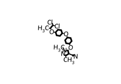 CC(Oc1ccc(Oc2ccc(Oc3c(C#N)c(C)nn3C)cc2)cc1)=C(Cl)Cl